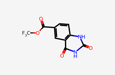 O=C(OC(F)(F)F)c1ccc2[nH]c(=O)[nH]c(=O)c2c1